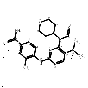 Cc1cc(C(N)=O)ncc1Nc1ncc(N(C)C)c(N(C=O)C2CCOCC2)n1